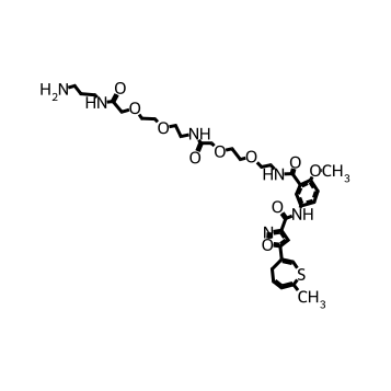 COc1ccc(NC(=O)c2cc(C3=CSC(C)=C=CC3)on2)cc1C(=O)NCCOCCOCC(=O)NCCOCCOCC(=O)NCCCN